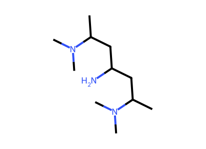 CC(CC(N)CC(C)N(C)C)N(C)C